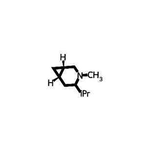 CC(C)C1C[C@@H]2C[C@@H]2CN1C